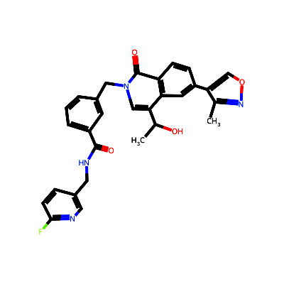 Cc1nocc1-c1ccc2c(=O)n(Cc3cccc(C(=O)NCc4ccc(F)nc4)c3)cc(C(C)O)c2c1